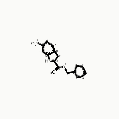 O=C(OCc1ccccc1)C1Cc2ccc([N+](=O)[O-])cc2N1